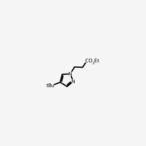 CCOC(=O)CCn1cc(C(C)(C)C)cn1